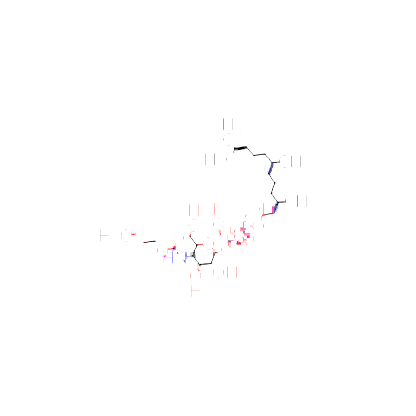 COCCOC(=O)N[C@@H]1C(CO)O[C@H](O[P@@](=O)(CO)O[P@@](=O)(CO)OC/C=C(/C)CC/C=C(\C)CCC=C(C)C)C(O)[C@H]1O